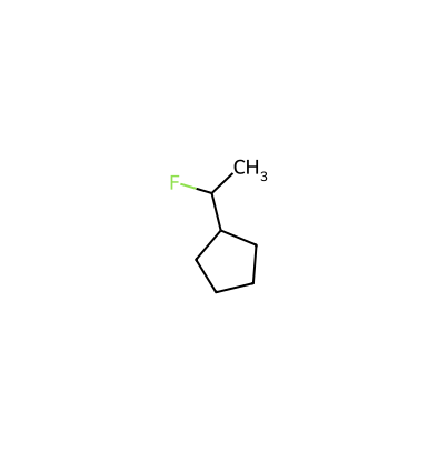 CC(F)C1CCCC1